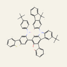 CC(C)(C)c1ccc(N2B3c4cc5c(cc4-n4c6ccc(C(C)(C)C)cc6c6c7c(oc8ccccc87)c(c3c64)-c3cc4sc6ccccc6c4cc32)C(C)(C)c2ccccc2-5)cc1